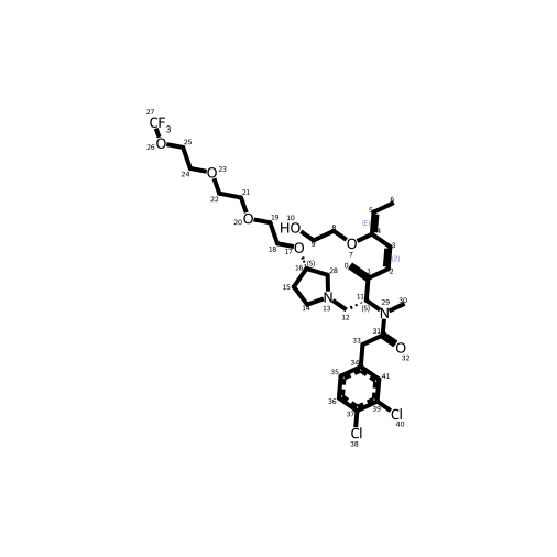 C=C(/C=C\C(=C/C)OCCO)[C@@H](CN1CC[C@H](OCCOCCOCCOC(F)(F)F)C1)N(C)C(=O)Cc1ccc(Cl)c(Cl)c1